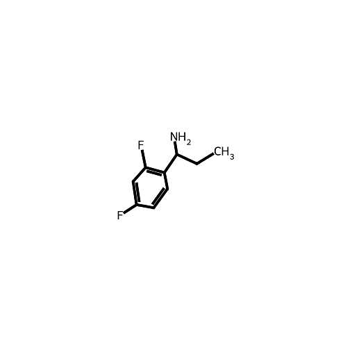 CCC(N)c1ccc(F)cc1F